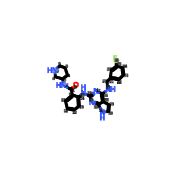 O=C(NC1CCCNC1)c1ccccc1Nc1nc(NCc2cccc(F)c2)c2cc[nH]c2n1